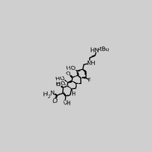 CC(C)(C)NCCNCc1cc(F)c2c(c1O)C(=O)C1=C(O)[C@]3(O)C(=O)C(C(N)=O)=C(O)C[C@@H]3CC1C2